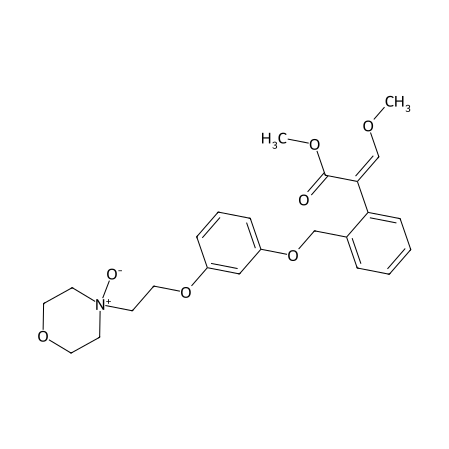 COC=C(C(=O)OC)c1ccccc1COc1cccc(OCC[N+]2([O-])CCOCC2)c1